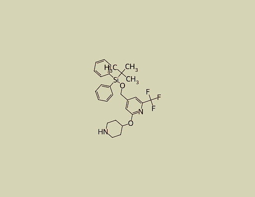 CC(C)(C)[Si](OCc1cc(OC2CCNCC2)nc(C(F)(F)F)c1)(c1ccccc1)c1ccccc1